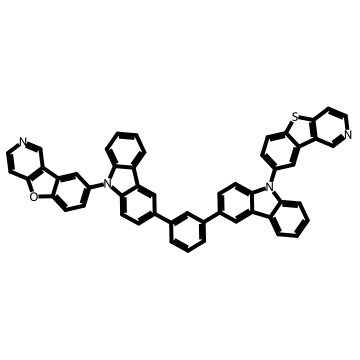 c1cc(-c2ccc3c(c2)c2ccccc2n3-c2ccc3oc4ccncc4c3c2)cc(-c2ccc3c(c2)c2ccccc2n3-c2ccc3sc4ccncc4c3c2)c1